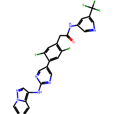 O=C(Cc1cc(F)c(-c2cnc(Nc3cnn4ccccc34)nc2)cc1F)Nc1cncc(C(F)(F)F)c1